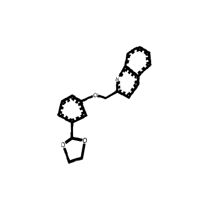 c1cc(OCc2ccc3ccccc3n2)cc(C2OCCO2)c1